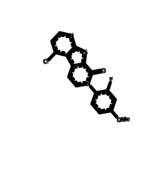 COc1ccc(-n2ccc3c(sc4nccc(Cl)c43)c2=O)c(F)c1